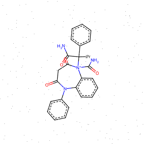 CC(C)C(C(N)=O)(c1ccccc1)[N+]1(C(N)=O)C(=O)[CH]C(=O)N(c2ccccc2)c2ccccc21